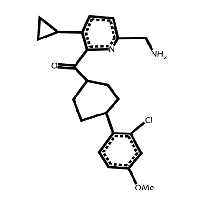 COc1ccc(C2CCC(C(=O)c3nc(CN)ccc3C3CC3)CC2)c(Cl)c1